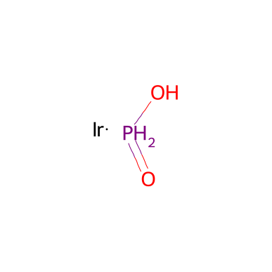 O=[PH2]O.[Ir]